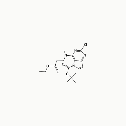 CCOC(=O)CCN(C)c1nc(Cl)nc2ccn(C(=O)OC(C)(C)C)c12